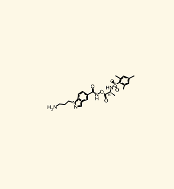 Cc1cc(C)c(S(=O)(=O)N[C@@H](C)C(=O)ONC(=O)c2ccc3c(cnn3CCCN)c2)c(C)c1